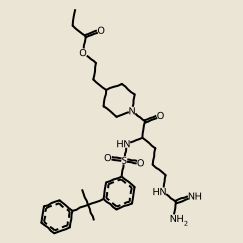 CCC(=O)OCCC1CCN(C(=O)C(CCCNC(=N)N)NS(=O)(=O)c2cccc(C(C)(C)c3ccccc3)c2)CC1